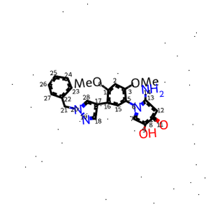 COc1cc(OC)c(-n2cc(O)c(=O)cc2N)cc1-c1cnn(Cc2ccccc2)c1